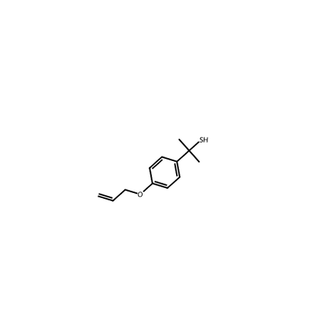 C=CCOc1ccc(C(C)(C)S)cc1